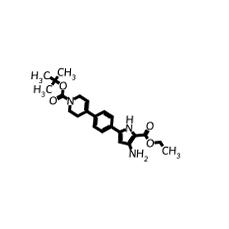 CCOC(=O)c1[nH]c(-c2ccc(C3=CCN(C(=O)OC(C)(C)C)CC3)cc2)cc1N